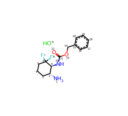 Cl.N[C@@H]1CCCC(F)(F)[C@H]1NC(=O)OCc1ccccc1